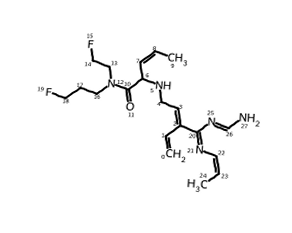 C=CC(=C\CNC(/C=C\C)C(=O)N(CCF)CCCF)/C(=N/C=C\C)/N=C/N